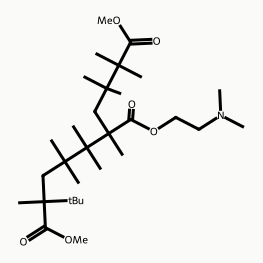 COC(=O)C(C)(C)C(C)(C)CC(C)(C(=O)OCCN(C)C)C(C)(C)C(C)(C)CC(C)(C(=O)OC)C(C)(C)C